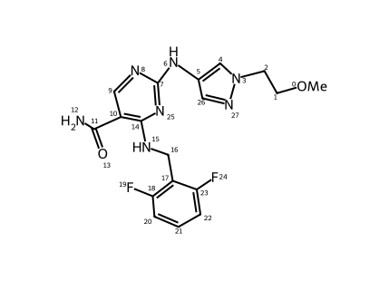 COCCn1cc(Nc2ncc(C(N)=O)c(NCc3c(F)cccc3F)n2)cn1